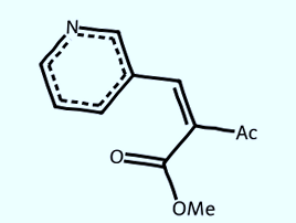 COC(=O)C(=Cc1cccnc1)C(C)=O